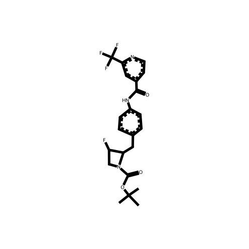 CC(C)(C)OC(=O)N1CC(F)C1Cc1ccc(NC(=O)c2ccnc(C(F)(F)F)c2)cc1